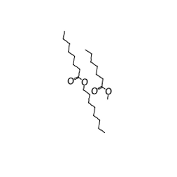 CCCCCCC(=O)OC.CCCCCCCCOC(=O)CCCCCCC